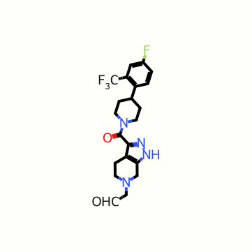 O=CCN1CCc2c(C(=O)N3CCC(c4ccc(F)cc4C(F)(F)F)CC3)n[nH]c2C1